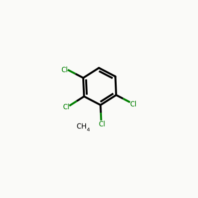 C.Clc1ccc(Cl)c(Cl)c1Cl